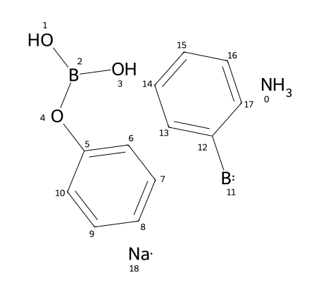 N.OB(O)Oc1ccccc1.[B]c1ccccc1.[Na]